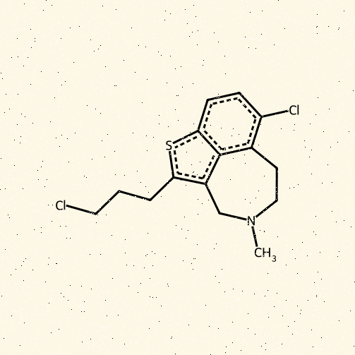 CN1CCc2c(Cl)ccc3sc(CCCCl)c(c23)C1